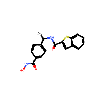 CC(C)(C)C(NC(=O)c1cc2ccccc2s1)c1ccc(C(=O)NO)cc1